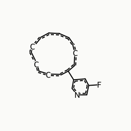 Fc1cncc(-c2ccccccccccccc2)c1